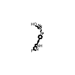 CN(CCn1cc(CO)nn1)c1ccc(C#Cc2cc3cc(F)cnc3[nH]2)cc1